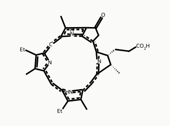 CCC1=C(C)c2cc3[nH]c(cc4nc(c5c6[nH]c(cc1n2)c(C)c6C(=O)C5)[C@H](CCC(=O)O)[C@@H]4C)c(C)c3CC